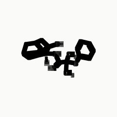 CC(C)(Oc1ccccc1)C(=N)N[C@H]1C2CC3CC(C2)CC1(O)C3